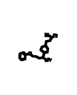 CCCC(CCCOc1ccccc1)C1=CCC(CCC(CC)CC)CC1